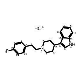 Cl.Fc1ccc(CCN2CCC(c3c[nH]c4ccccc34)CC2)cc1